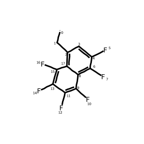 [CH2]Cc1cc(F)c(F)c2c(F)c(F)c(F)c(F)c12